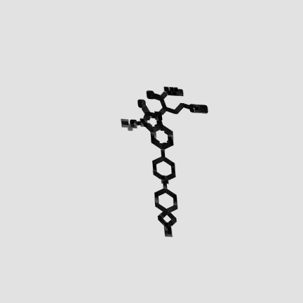 CNC(=O)C(CCC=O)n1c(=O)n(C)c2cc(C3CCN(C4CCC5(CC4)CNC5)CC3)ccc21